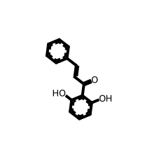 O=C(/C=C/c1ccccc1)c1c(O)cccc1O